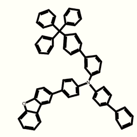 c1ccc(-c2ccc(N(c3ccc(-c4ccc5oc6ccccc6c5c4)cc3)c3cccc(-c4ccc(C(c5ccccc5)(c5ccccc5)c5ccccc5)cc4)c3)cc2)cc1